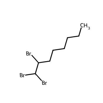 CCCCCCC(Br)[C](Br)Br